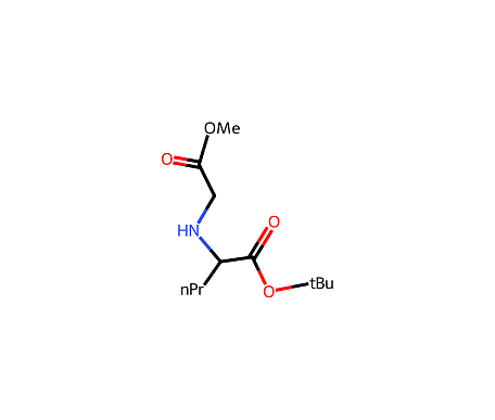 CCCC(NCC(=O)OC)C(=O)OC(C)(C)C